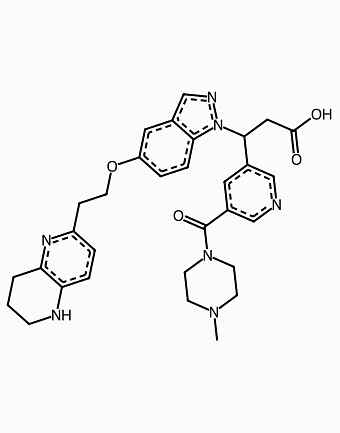 CN1CCN(C(=O)c2cncc(C(CC(=O)O)n3ncc4cc(OCCc5ccc6c(n5)CCCN6)ccc43)c2)CC1